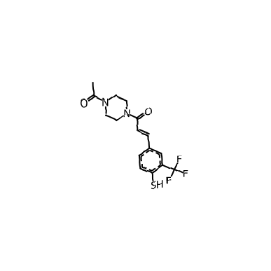 CC(=O)N1CCN(C(=O)/C=C/c2ccc(S)c(C(F)(F)F)c2)CC1